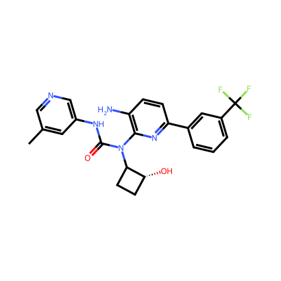 Cc1cncc(NC(=O)N(c2nc(-c3cccc(C(F)(F)F)c3)ccc2N)C2CC[C@H]2O)c1